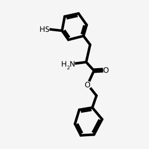 NC(Cc1cccc(S)c1)C(=O)OCc1ccccc1